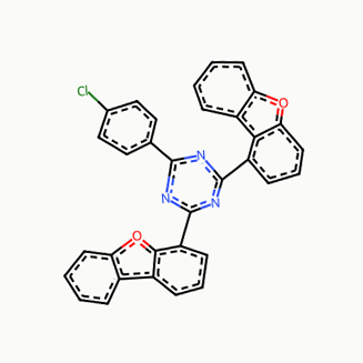 Clc1ccc(-c2nc(-c3cccc4c3oc3ccccc34)nc(-c3cccc4oc5ccccc5c34)n2)cc1